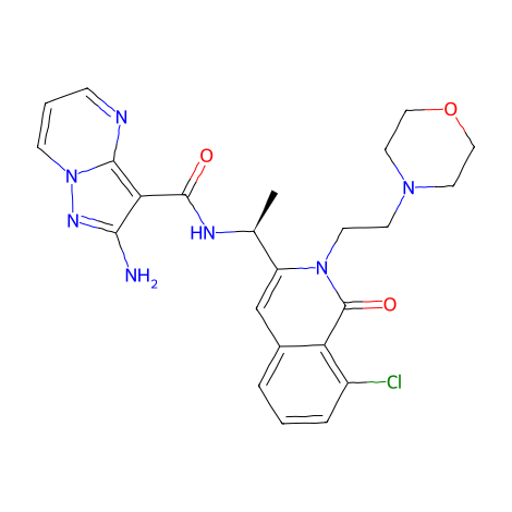 C[C@H](NC(=O)c1c(N)nn2cccnc12)c1cc2cccc(Cl)c2c(=O)n1CCN1CCOCC1